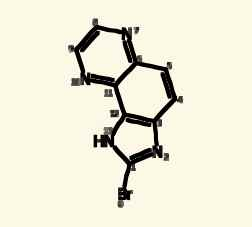 Brc1nc2ccc3nccnc3c2[nH]1